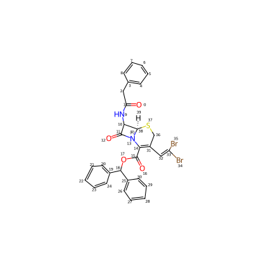 O=C(Cc1ccccc1)NC1C(=O)N2C(C(=O)OC(c3ccccc3)c3ccccc3)=C(C=C(Br)Br)CS[C@H]12